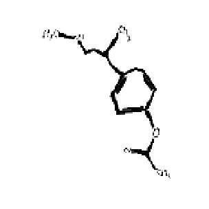 CNCC(C)c1ccc(OC(C)=O)cc1